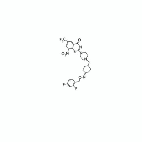 O=c1nc(N2CCN(CC3CCC(=NOCc4ccc(F)cc4F)CC3)CC2)sc2c([N+](=O)[O-])cc(C(F)(F)F)cc12